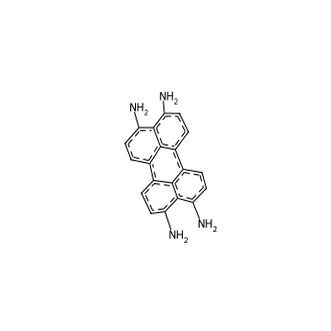 Nc1ccc2c3ccc(N)c4c(N)ccc(c5ccc(N)c1c25)c43